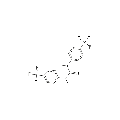 CC(C(=O)C(C)c1ccc(C(F)(F)F)cc1)c1ccc(C(F)(F)F)cc1